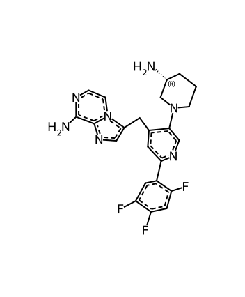 Nc1nccn2c(Cc3cc(-c4cc(F)c(F)cc4F)ncc3N3CCC[C@@H](N)C3)cnc12